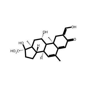 CC1=C[C@@H]2C([C@@H](O)C[C@@]3(C)[C@H]2CC[C@]3(O)C(=O)O)[C@@]2(C)C/C(=C/O)C(=O)C=C12